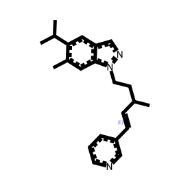 Cc1cc2c(cnn2CCC(C)/C=C/c2cccnc2)cc1C(C)C